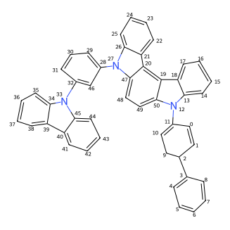 C1=CC(c2ccccc2)CC=C1n1c2ccccc2c2c3c4ccccc4n(-c4cccc(-n5c6ccccc6c6ccccc65)c4)c3ccc21